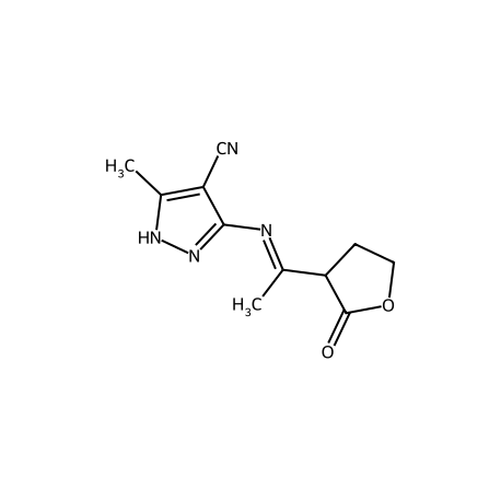 C/C(=N\c1n[nH]c(C)c1C#N)C1CCOC1=O